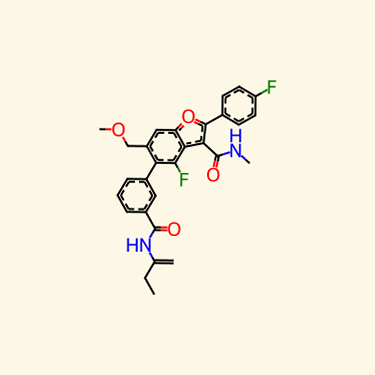 C=C(CC)NC(=O)c1cccc(-c2c(COC)cc3oc(-c4ccc(F)cc4)c(C(=O)NC)c3c2F)c1